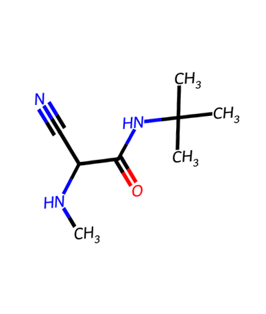 CNC(C#N)C(=O)NC(C)(C)C